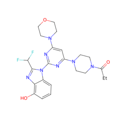 CCC(=O)N1CCN(c2cc(N3CCOCC3)nc(-n3c(C(F)F)nc4c(O)cccc43)n2)CC1